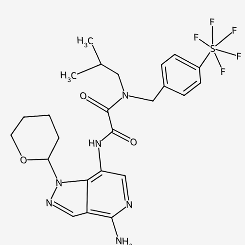 CC(C)CN(Cc1ccc(S(F)(F)(F)(F)F)cc1)C(=O)C(=O)Nc1cnc(N)c2cnn(C3CCCCO3)c12